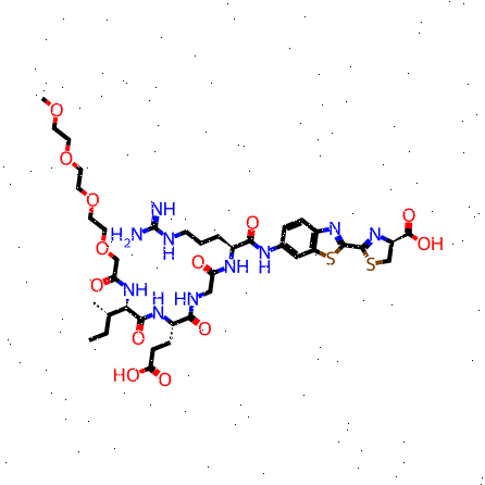 CC[C@H](C)[C@H](NC(=O)COCCOCCOCCOC)C(=O)N[C@@H](CCC(=O)O)C(=O)NCC(=O)N[C@@H](CCCNC(=N)N)C(=O)Nc1ccc2nc(C3=N[C@@H](C(=O)O)CS3)sc2c1